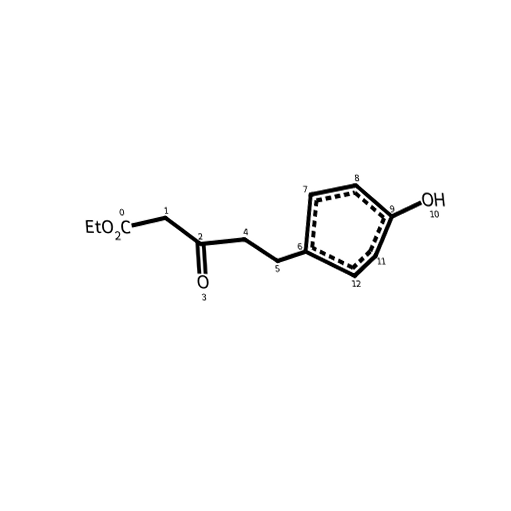 CCOC(=O)CC(=O)CCc1ccc(O)cc1